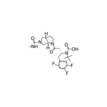 CNC(=O)N1C[C@@H]2CCN(C(=O)C[C@@H](Cc3cc(F)c(F)cc3F)N(C(=O)O)C(C)(C)C)[C@@H]2C1